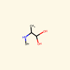 [CH2]CCNC(C)C(O)O